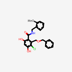 COc1ccccc1CNC(=O)c1c(O)cc(O)c(Cl)c1COCc1ccccc1